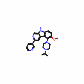 COc1ccc2[nH]c3cnc(-c4cccnc4)cc3c2c1N1CCN(C(C)C)CC1